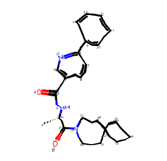 C[C@H](NC(=O)c1ccc(-c2ccccc2)nc1)C(=O)N1CCC2(CCC2)CC1